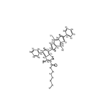 CCCCCCCC(=O)c1sc2c(-c3cc4c(C)c5sc(-c6ccccc6)cc5c(C)c4s3)sc(-c3ccccc3)c2c1F